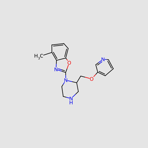 Cc1cccc2oc(N3CCNCC3COc3cccnc3)nc12